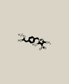 COC(O)Cc1ccc(Cn2nc(C)c([N+](=O)[O-])c2C)cc1